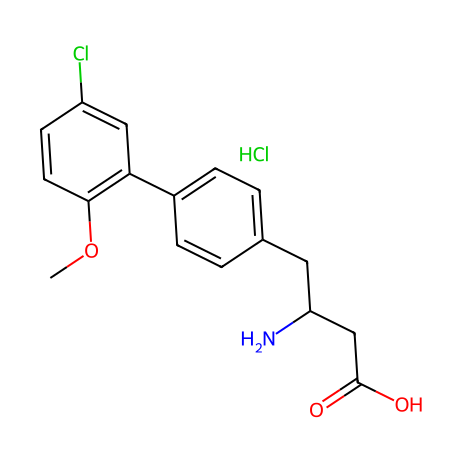 COc1ccc(Cl)cc1-c1ccc(CC(N)CC(=O)O)cc1.Cl